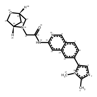 Cc1ncc(-c2ccc3cnc(NC(=O)CN4C[C@@H]5C[C@H]4CO5)cc3c2)n1C